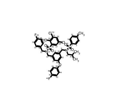 Cc1ccc(S(=O)(=O)N(Cc2cc(CN(Cc3ccc(F)cc3)S(=O)(=O)c3cc(Cl)cc(Cl)c3O)cc(Oc3ccc(F)cc3)c2)CC(C)C)cc1